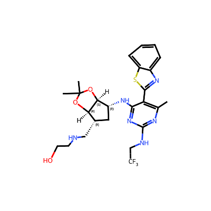 Cc1nc(NCC(F)(F)F)nc(N[C@@H]2C[C@H](CNCCO)[C@H]3OC(C)(C)O[C@H]32)c1-c1nc2ccccc2s1